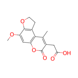 COc1cc2oc(=O)c(CC(=O)O)c(C)c2c2c1OCC2